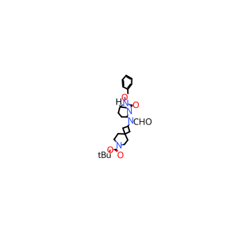 CC(C)(C)OC(=O)N1CCC2(CC1)CC(N(C=O)[C@@H]1CC[C@@H]3CN1C(=O)N3OCc1ccccc1)C2